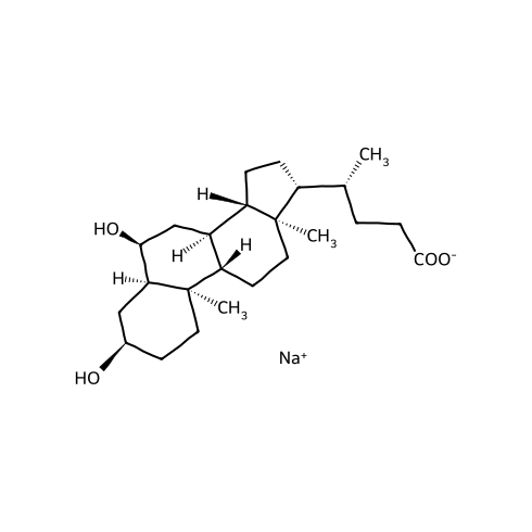 C[C@H](CCC(=O)[O-])[C@H]1CC[C@H]2[C@@H]3C[C@H](O)[C@@H]4C[C@H](O)CC[C@]4(C)[C@H]3CC[C@]12C.[Na+]